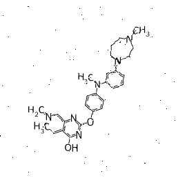 C=N/C=c1/nc(Oc2ccc(N(C)c3cccc(N4CCCN(C)CC4)c3)cc2)nc(O)/c1=C/C